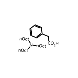 CCCCCCCCN(CCCCCCCC)CCCCCCCC.O=C(O)Cc1ccccc1